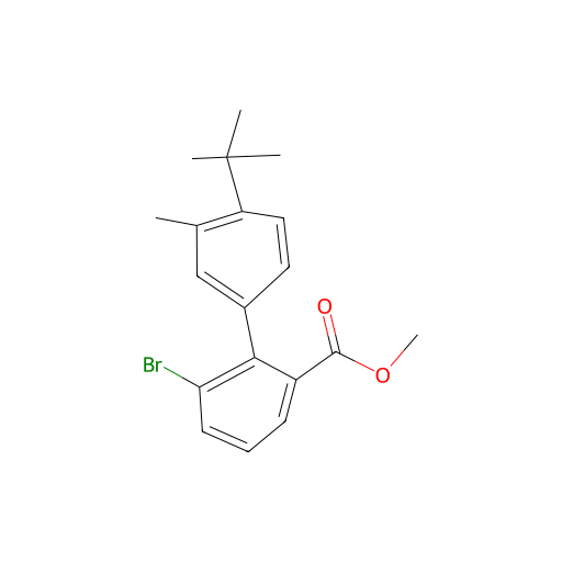 COC(=O)c1cccc(Br)c1-c1ccc(C(C)(C)C)c(C)c1